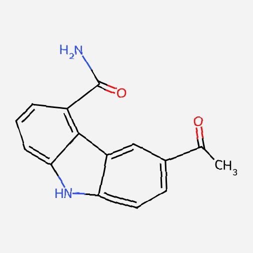 CC(=O)c1ccc2[nH]c3cccc(C(N)=O)c3c2c1